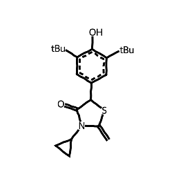 C=C1SC(c2cc(C(C)(C)C)c(O)c(C(C)(C)C)c2)C(=O)N1C1CC1